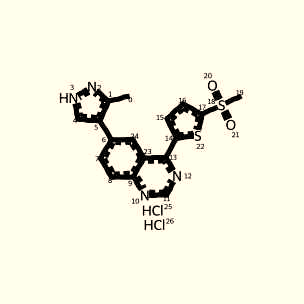 Cc1n[nH]cc1-c1ccc2ncnc(-c3ccc(S(C)(=O)=O)s3)c2c1.Cl.Cl